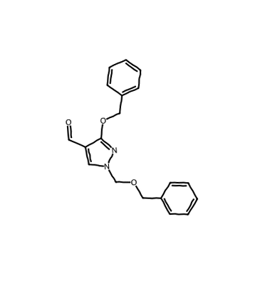 O=Cc1cn(COCc2ccccc2)nc1OCc1ccccc1